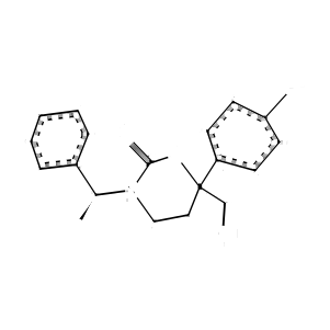 C[C@@H](c1ccccc1)N1CCC(CO)(c2ccc(F)cc2)OC1=O